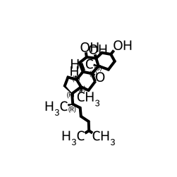 CC(C)CCC[C@@H](C)[C@H]1CC[C@H]2C3=CC(O)C4(O)CC(O)CC[C@]4(C)[C@]34OC4C[C@]12C